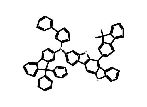 CC1(C)c2ccccc2-c2ccc(-c3c4oc5cc(N(c6cccc(-c7ccccc7)c6)c6ccc7c(c6)C(c6ccccc6)(c6ccccc6)c6ccccc6-7)ccc5c4cc4oc5ccccc5c34)cc21